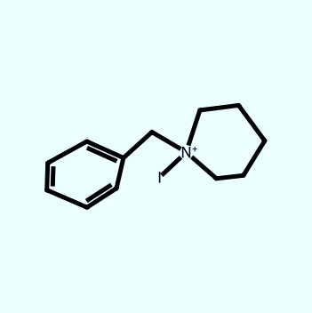 I[N+]1(Cc2ccccc2)CCCCC1